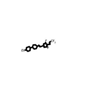 CCC1CCC(C2CCC(/C=C/c3cc(F)c(/C=C/C(F)(F)F)c(F)c3)CC2)CC1